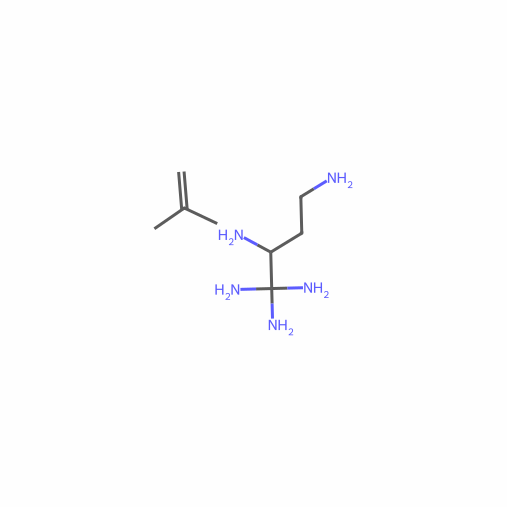 C=C(C)C.NCCC(N)C(N)(N)N